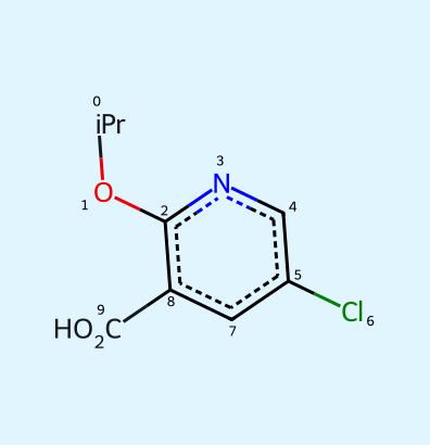 CC(C)Oc1ncc(Cl)cc1C(=O)O